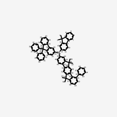 CC1(C)c2ccccc2-c2ccc(N(c3ccc4c(c3)-c3ccccc3C4(c3ccccc3)c3ccccc3)c3ccc4c(c3)C(C)(C)c3cc5c(cc3-4)C(C)(C)c3cccc(-c4ccccc4)c3-5)cc21